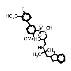 COc1ccc(-c2ccc(F)c(C(=O)O)c2)cc1S(=O)(=O)N(C)C[C@H](O)CNC(C)(C)CC1Cc2ccccc2C1